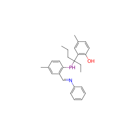 CCCC(CC)(Pc1ccc(C)cc1/C=N/c1ccccc1)c1cc(C)ccc1O